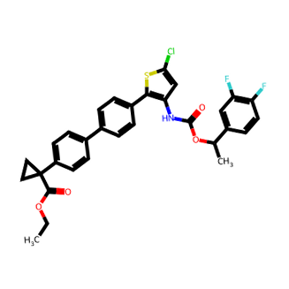 CCOC(=O)C1(c2ccc(-c3ccc(-c4sc(Cl)cc4NC(=O)OC(C)c4ccc(F)c(F)c4)cc3)cc2)CC1